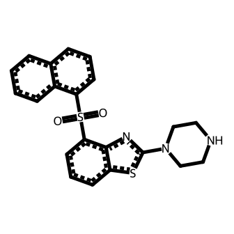 O=S(=O)(c1cccc2ccccc12)c1cccc2sc(N3CCNCC3)nc12